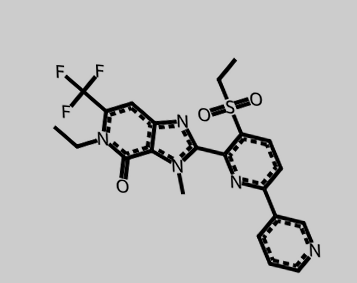 CCn1c(C(F)(F)F)cc2nc(-c3nc(-c4cccnc4)ccc3S(=O)(=O)CC)n(C)c2c1=O